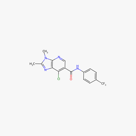 Cc1nc2c(Cl)c(C(=O)Nc3ccc(C(F)(F)F)cc3)cnc2n1C